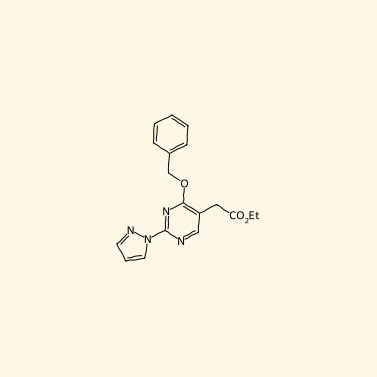 CCOC(=O)Cc1cnc(-n2cccn2)nc1OCc1ccccc1